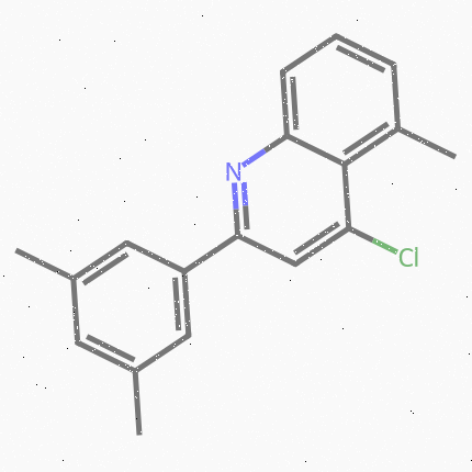 Cc1cc(C)cc(-c2cc(Cl)c3c(C)cccc3n2)c1